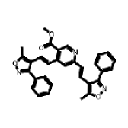 COC(=O)c1cnc(C=Cc2c(-c3ccccc3)noc2C)cc1C=Cc1c(-c2ccccc2)noc1C